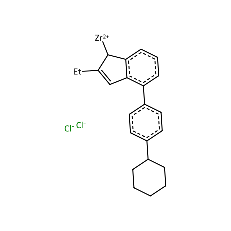 CCC1=Cc2c(-c3ccc(C4CCCCC4)cc3)cccc2[CH]1[Zr+2].[Cl-].[Cl-]